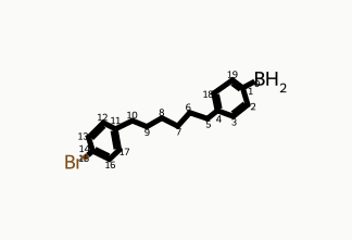 Bc1ccc(CCCCCCc2ccc(Br)cc2)cc1